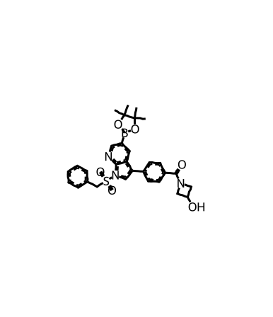 CC1(C)OB(c2cnc3c(c2)c(-c2ccc(C(=O)N4CC(O)C4)cc2)cn3S(=O)(=O)Cc2ccccc2)OC1(C)C